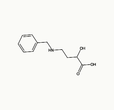 O=C(O)C(O)CCNCc1ccccc1